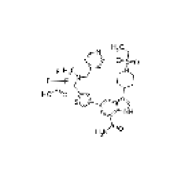 CCS(=O)(=O)N1CCC(c2c[nH]c3c(C(N)=O)cc(-c4csc(CN(C)Cc5ccncn5)c4)cc23)CC1.O=C(O)C(F)(F)F